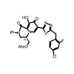 COC[C@H]1CN(C(C)C)C(=O)c2c(O)c(=O)c(-c3nnc(Cc4ccc(Cl)cc4F)s3)cn21